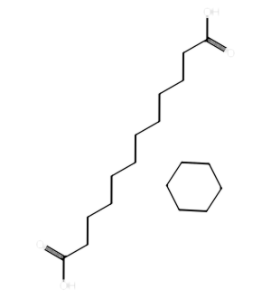 C1CCCCC1.O=C(O)CCCCCCCCCCC(=O)O